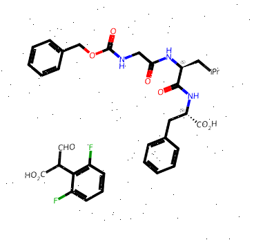 CC(C)C[C@H](NC(=O)CNC(=O)OCc1ccccc1)C(=O)N[C@@H](Cc1ccccc1)C(=O)O.O=CC(C(=O)O)c1c(F)cccc1F